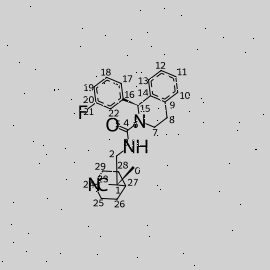 C[C@]1(CNC(=O)N2CCc3ccccc3[C@@H]2c2cccc(F)c2)CN2CCC1CC2